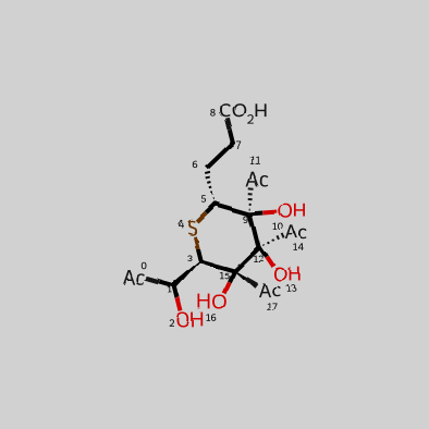 CC(=O)C(O)[C@H]1S[C@H](CCC(=O)O)[C@](O)(C(C)=O)[C@](O)(C(C)=O)[C@@]1(O)C(C)=O